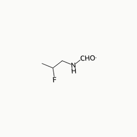 CC(F)CN[C]=O